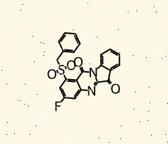 O=C1c2ccccc2-n2c1nc1cc(F)cc(S(=O)(=O)Cc3ccccc3)c1c2=O